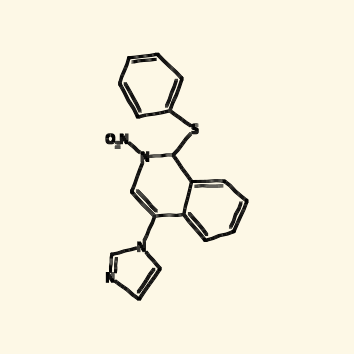 O=[N+]([O-])N1C=C(n2ccnc2)c2ccccc2C1Sc1ccccc1